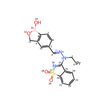 CC(C)CN(/N=C/c1ccc2c(c1)COB2O)C1=NS(=O)(=O)c2ccccc21